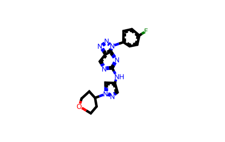 Fc1ccc(-n2nnc3cnc(Nc4cnn(C5CCOCC5)c4)nc32)cc1